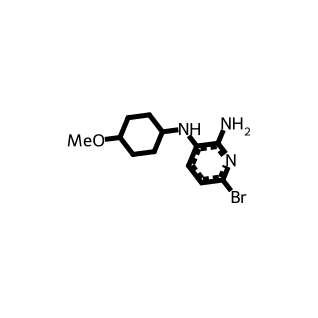 COC1CCC(Nc2ccc(Br)nc2N)CC1